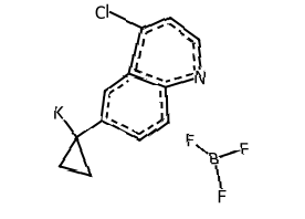 Clc1ccnc2ccc([C]3([K])CC3)cc12.FB(F)F